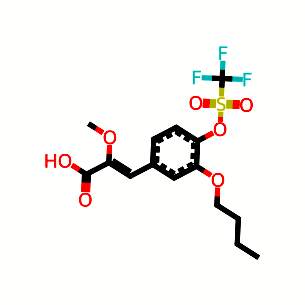 CCCCOc1cc(C=C(OC)C(=O)O)ccc1OS(=O)(=O)C(F)(F)F